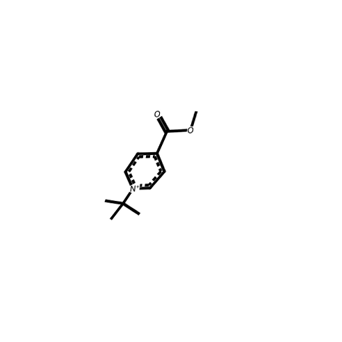 COC(=O)c1cc[n+](C(C)(C)C)cc1